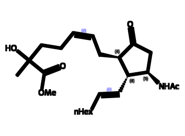 CCCCCC/C=C/[C@H]1[C@H](NC(C)=O)CC(=O)[C@@H]1C/C=C\CCC(C)(O)C(=O)OC